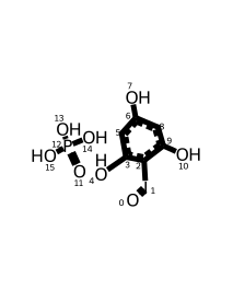 O=Ic1c(O)cc(O)cc1O.O=P(O)(O)O